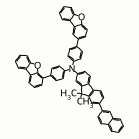 CC1(C)c2cc(-c3ccc4ccccc4c3)ccc2-c2ccc(N(c3ccc(-c4ccc5oc6ccccc6c5c4)cc3)c3ccc(-c4cccc5c4oc4ccccc45)cc3)cc21